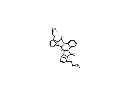 C=CCC12C=CC(C1)C1C(=O)N(c3ccccc3N3C(=O)C4C5C=CC(CC=C)(C5)C4C3=O)C(=O)C12